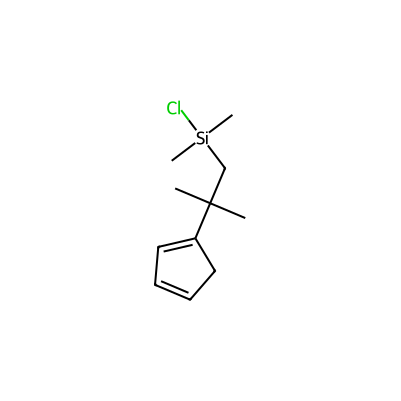 CC(C)(C[Si](C)(C)Cl)C1=CC=CC1